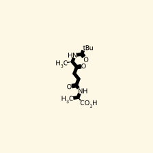 C[C@H](NC(=O)CCC(=O)[C@H](C)NC(=O)C(C)(C)C)C(=O)O